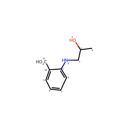 CC(O)CNc1ccccc1C(=O)O